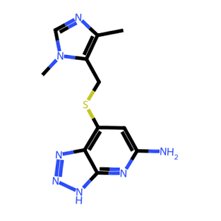 Cc1ncn(C)c1CSc1cc(N)nc2[nH]nnc12